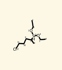 CCO[SiH](OCC)C(C)CCCCl